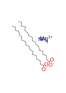 CCCCCCCCCCCCCCCCCC(=O)[O-].CCCCCCCCCCCCCCCCCC(=O)[O-].N.[Mg+2]